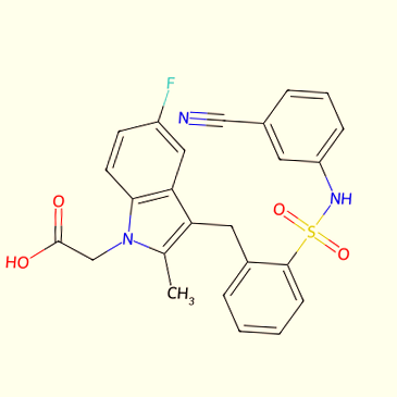 Cc1c(Cc2ccccc2S(=O)(=O)Nc2cccc(C#N)c2)c2cc(F)ccc2n1CC(=O)O